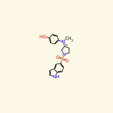 CN(c1ccc(O)cc1)[C@H]1CCN(S(=O)(=O)c2ccc3[nH]ccc3c2)C1